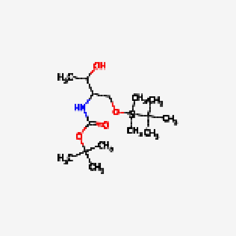 CC(O)C(CO[Si](C)(C)C(C)(C)C)NC(=O)OC(C)(C)C